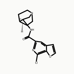 O=C(N[C@@H]1CN2CCC1CC2)c1cc2ccoc2c(Cl)n1